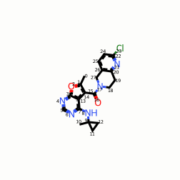 Cc1oc2ncnc(NC3(C)CC3)c2c1C(=O)N1CCc2nc(Cl)ccc2C1